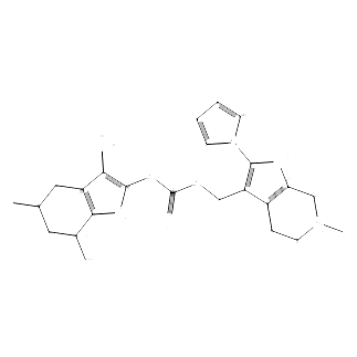 CC1Cc2c(sc(NC(=O)NCc3c(-n4cccc4)sc4c3CCN(C)C4)c2C=O)C(C)C1